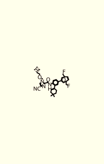 CC1(C)CC=C(c2cc(C3CC4(CF)C=CC(CF)(C3)O4)ccc2NC(=O)c2nc(C#N)cn2COCC[Si](C)(C)C)CC1